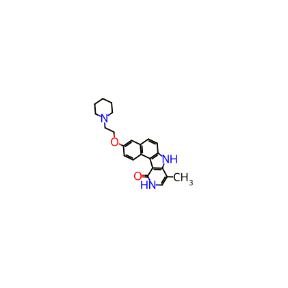 Cc1c[nH]c(=O)c2c1[nH]c1ccc3cc(OCCN4CCCCC4)ccc3c12